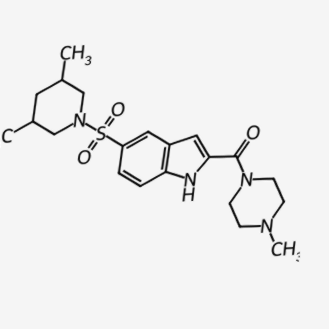 CC1CC(C)CN(S(=O)(=O)c2ccc3[nH]c(C(=O)N4CCN(C)CC4)cc3c2)C1